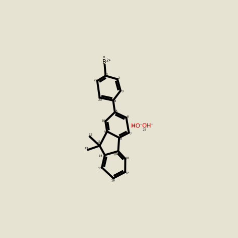 [B+2]c1ccc(-c2ccc3c(c2)C(C)(C)c2ccccc2-3)cc1.[OH-].[OH-]